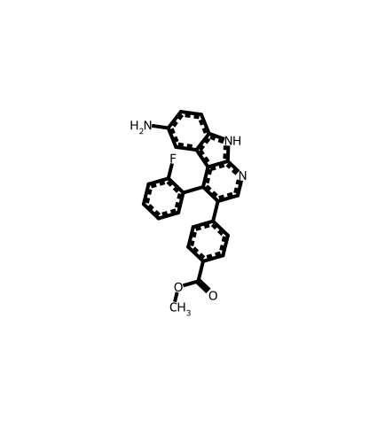 COC(=O)c1ccc(-c2cnc3[nH]c4ccc(N)cc4c3c2-c2ccccc2F)cc1